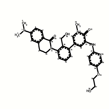 CN(C)c1ccc2c(c1)CCN(c1cccc(-c3cc(Nc4ccc(OCCO)cn4)c(=O)n(C)c3)c1CO)C2=O